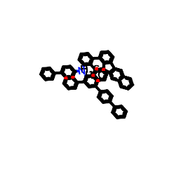 CC1(C)c2cc3ccccc3cc2-c2cccc(-c3cccc(N(c4ccc(-c5ccccc5)cc4)c4ccc(-c5ccc(-c6ccccc6)cc5)cc4-c4ccccc4)c3-c3ccccc3)c21